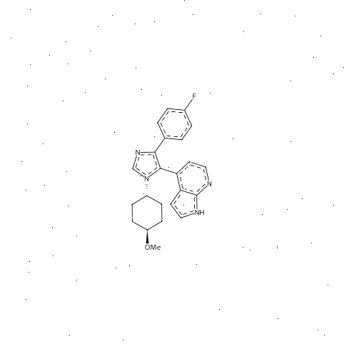 CO[C@H]1CC[C@H](n2cnc(-c3ccc(F)cc3)c2-c2ccnc3[nH]ccc23)CC1